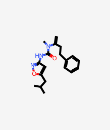 C=C(CCc1ccccc1)N(C)C(=O)Nc1cc(CC(C)C)on1